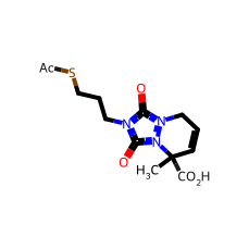 CC(=O)SCCCn1c(=O)n2n(c1=O)C(C)(C(=O)O)C=CC2